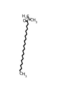 CCCCCCCCCCCCCCCCCCCCCC(=O)N(C)C